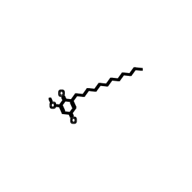 CCCCCCCCCCCCC1=CC(=O)C=C(OC)C1=O